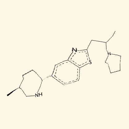 CC(Cc1nc2cc([C@H]3CC[C@H](C)CN3)ccc2s1)N1CCCC1